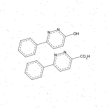 O=C(O)c1ccc(-c2ccccc2)nn1.Oc1ccc(-c2ccccc2)nn1